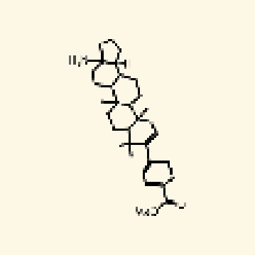 COC(=O)C1=CC=C(C2=CCC3(C)C(CCC4(C)C5CCC6(N)CCC[C@@H]6C5CCC43)C2(C)C)CC1